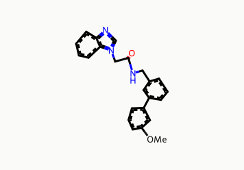 COc1cccc(-c2cccc(CNC(=O)Cn3cnc4ccccc43)c2)c1